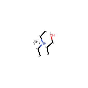 CCCO.CCNCC.[AlH3]